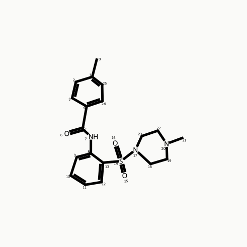 Cc1ccc(C(=O)Nc2ccccc2S(=O)(=O)N2CCN(C)CC2)cc1